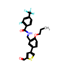 CCCOc1ccc(-c2csc(C=O)c2)cc1CNC(=O)c1ccc(C(F)(F)F)cc1F